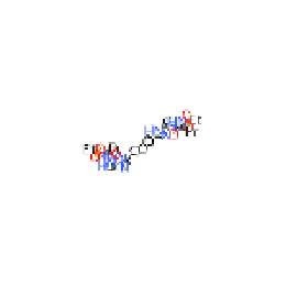 CCS(=O)(=O)N[C@H](C(=O)N1CCC[C@H]1c1ncc(-c2ccc3c(c2)Cc2cc(-c4cnc([C@@H]5CCCN5C(=O)[C@@H](NS(=O)(=O)CC)C(C)C)[nH]4)ccc2-3)[nH]1)C(C)C